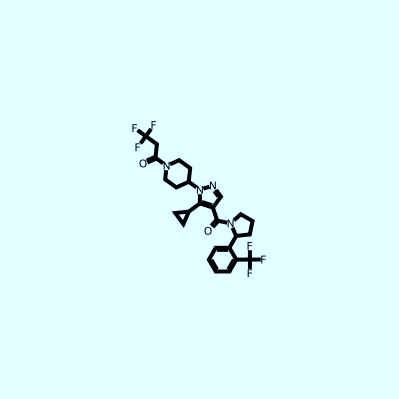 O=C(CC(F)(F)F)N1CCC(n2ncc(C(=O)N3CCCC3c3ccccc3C(F)(F)F)c2C2CC2)CC1